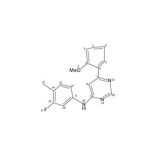 COc1ccccc1-c1cc(Nc2ccc(C)c(F)c2)ncn1